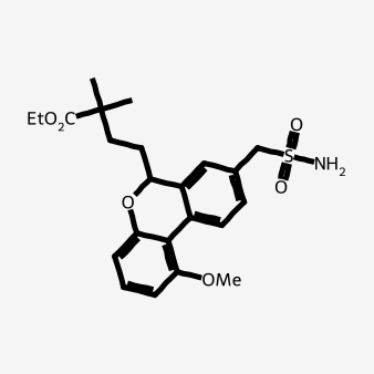 CCOC(=O)C(C)(C)CCC1Oc2cccc(OC)c2-c2ccc(CS(N)(=O)=O)cc21